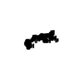 CC1(C)CCC(CN2CCN(c3ccc(C(=O)NS(=O)(=O)c4ccc(NCC5CCCN(CCCCCC#Cc6cccc7c6CN(C6CCC(=O)NC6=O)C7=O)C5)c([N+](=O)[O-])c4)c(Oc4cnc5[nH]ccc5c4)c3)CC2)=C(c2ccc(Cl)cc2)C1